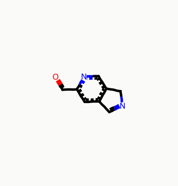 O=Cc1cc2c(cn1)CN=C2